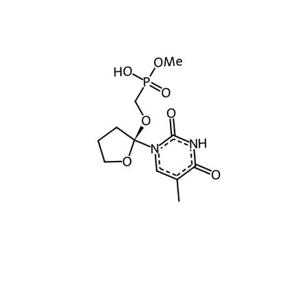 COP(=O)(O)CO[C@]1(n2cc(C)c(=O)[nH]c2=O)CCCO1